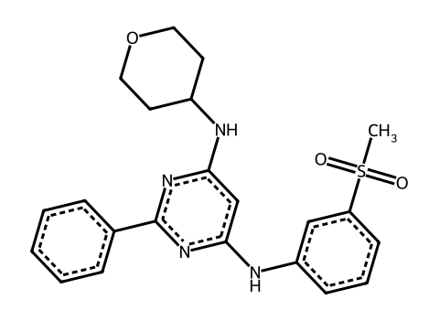 CS(=O)(=O)c1cccc(Nc2cc(NC3CCOCC3)nc(-c3ccccc3)n2)c1